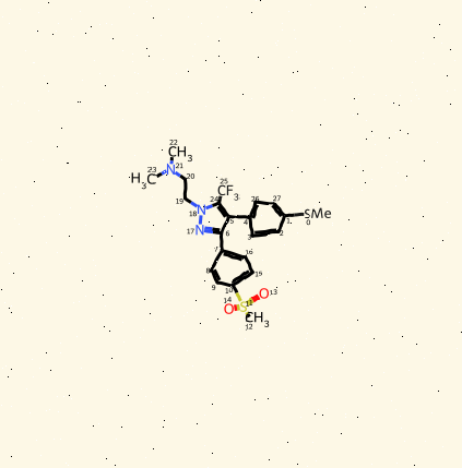 CSc1ccc(-c2c(-c3ccc(S(C)(=O)=O)cc3)nn(CCN(C)C)c2C(F)(F)F)cc1